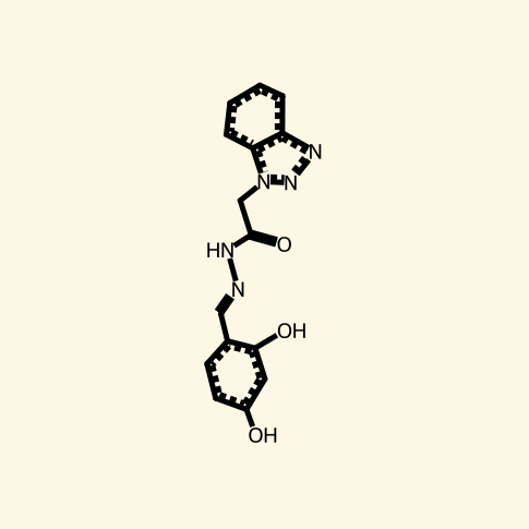 O=C(Cn1nnc2ccccc21)N/N=C/c1ccc(O)cc1O